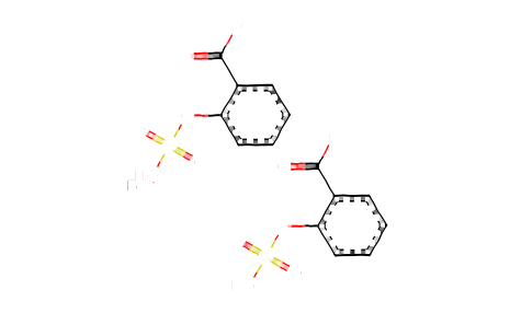 O=C([O-])c1ccccc1OS(=O)(=O)O.O=C([O-])c1ccccc1OS(=O)(=O)O.[Fe+2]